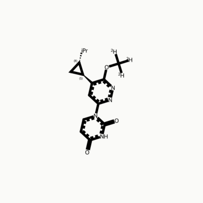 [2H]C([2H])([2H])Oc1nnc(-n2ccc(=O)[nH]c2=O)cc1[C@H]1C[C@@H]1C(C)C